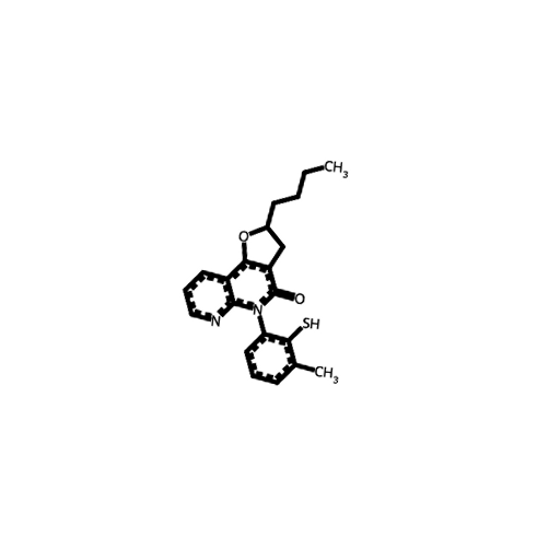 CCCCC1Cc2c(c3cccnc3n(-c3cccc(C)c3S)c2=O)O1